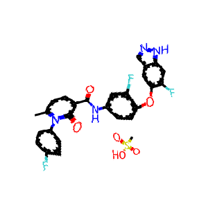 CS(=O)(=O)O.Cc1ccc(C(=O)Nc2ccc(Oc3cc4cn[nH]c4cc3F)c(F)c2)c(=O)n1-c1ccc(F)cc1